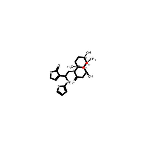 C=C1CC[C@]23N(O)C[C@]2(C)[C@H](O)CC[C@@]3(C)[C@@H]1CC(Oc1cccs1)C1=CCOC1=O